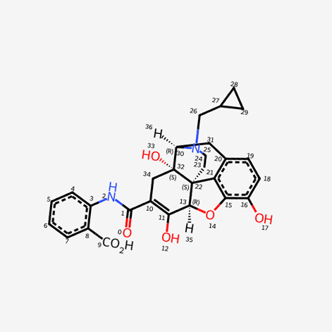 O=C(Nc1ccccc1C(=O)O)C1=C(O)[C@@H]2Oc3c(O)ccc4c3[C@@]23CCN(CC2CC2)[C@H](C4)[C@]3(O)C1